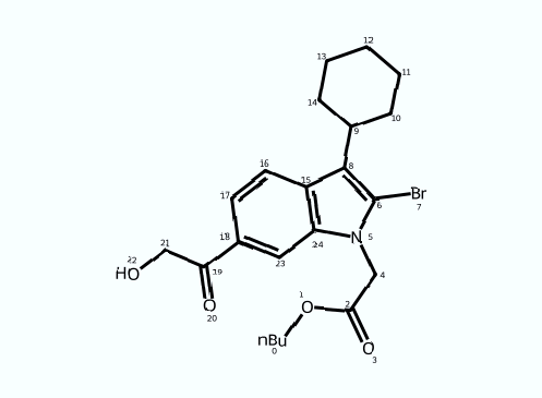 CCCCOC(=O)Cn1c(Br)c(C2CCCCC2)c2ccc(C(=O)CO)cc21